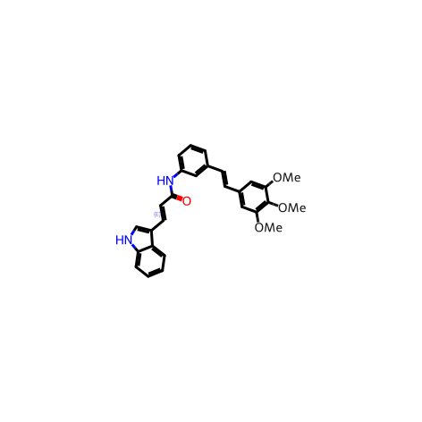 COc1cc(C=Cc2cccc(NC(=O)/C=C/c3c[nH]c4ccccc34)c2)cc(OC)c1OC